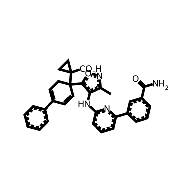 Cc1noc(C2(C3(C(=O)O)CC3)C=CC(c3ccccc3)=CC2)c1Nc1cccc(-c2cccc(C(N)=O)c2)n1